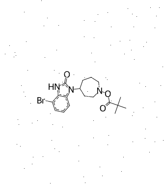 CC(C)(C)C(=O)ON1CCCC(n2c(=O)[nH]c3c(Br)cccc32)CC1